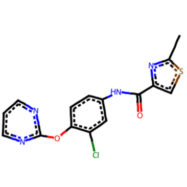 Cc1nc(C(=O)Nc2ccc(Oc3ncccn3)c(Cl)c2)cs1